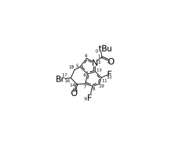 CC(C)(C)C(=O)n1cc2c3c(c(F)cc(F)c31)C(=O)C(Br)C2